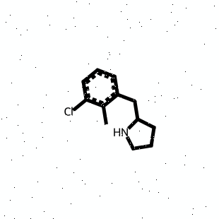 Cc1c(Cl)cccc1CC1CCCN1